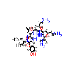 C=CC[C@H](NC(=O)[C@H](CCCCN)NC(=O)[C@H](CCCCN)NC(=O)[C@H](C)N)C(=O)N[C@H](Cc1ccc(O)cc1)C(=O)N[C@H](CC(C)C)C(=O)O